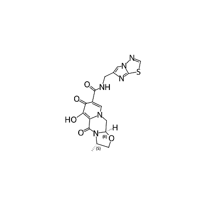 C[C@H]1CO[C@@H]2Cn3cc(C(=O)NCc4cn5ncsc5n4)c(=O)c(O)c3C(=O)N12